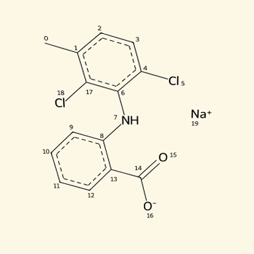 Cc1ccc(Cl)c(Nc2ccccc2C(=O)[O-])c1Cl.[Na+]